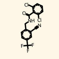 N#Cc1cc(C(F)(F)F)ccc1CNC(=O)c1c(Cl)cccc1Cl